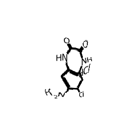 Cl.Nc1cc2[nH]c(=O)c(=O)[nH]c2cc1Cl